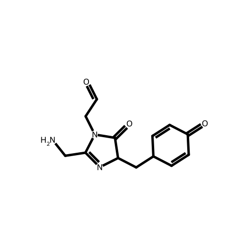 NCC1=NC(CC2C=CC(=O)C=C2)C(=O)N1CC=O